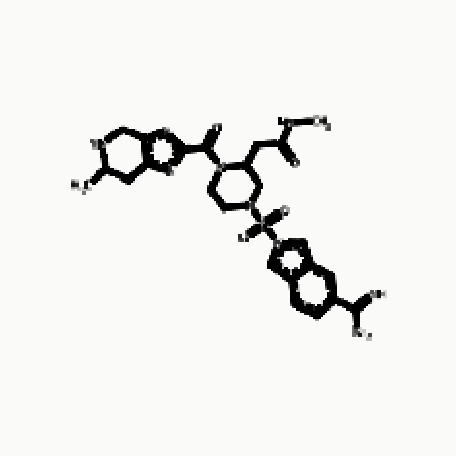 CNC(=O)CC1CN(S(=O)(=O)n2cc3ccc(C(=N)N)cc3c2)CCN1C(=O)c1nc2c(s1)CNC(C)C2